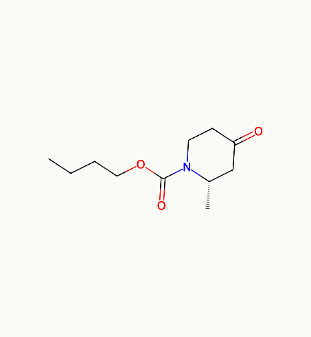 CCCCOC(=O)N1CCC(=O)C[C@@H]1C